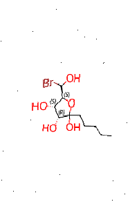 CCCCCC1(O)O[C@H](C(O)Br)[C@@H](O)[C@H]1O